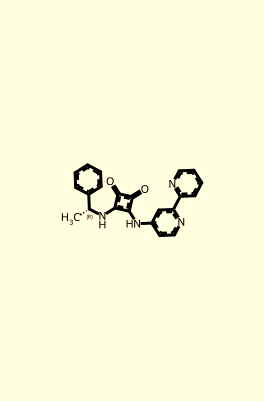 C[C@@H](Nc1c(Nc2ccnc(-c3ccccn3)c2)c(=O)c1=O)c1ccccc1